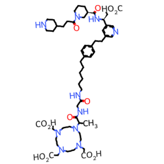 CC(C(=O)NCC(=O)NCCCCCCc1ccc(CCc2cncc([C@H](CC(=O)O)NC(=O)[C@@H]3CCCN(C(=O)CCC4CCNCC4)C3)c2)cc1)N1CCN(CC(=O)O)CCN(CC(=O)O)CCN(CC(=O)O)CC1